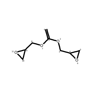 C=C(OCC1CO1)OCC1CO1